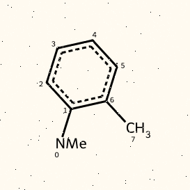 CNc1ccc[c]c1C